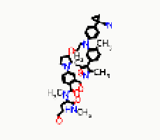 CNC(=O)C(CCC=O)N(C)C(=O)c1ccc(N2CCC(OCCN(c3ccc(C4(C#N)CC4)cc3)c3cc(-c4c(C)noc4C)ccc3C)C2)cc1C=O